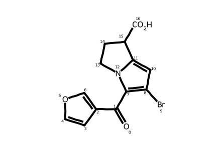 O=C(c1ccoc1)c1c(Br)cc2n1CCC2C(=O)O